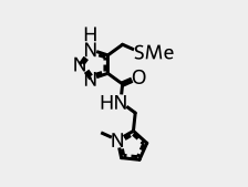 CSCc1[nH]nnc1C(=O)NCc1cccn1C